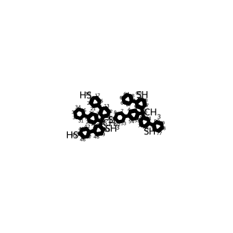 CC(c1ccc(C2CCC(Sc3ccc(-c4ccc(S)cc4)cc3C(C)(c3ccc(C4CCCCC4)cc3)c3cc(-c4ccc(S)cc4)ccc3S)CC2)cc1)(c1ccc(S)c(-c2ccccc2)c1)c1ccc(S)c(-c2ccccc2)c1